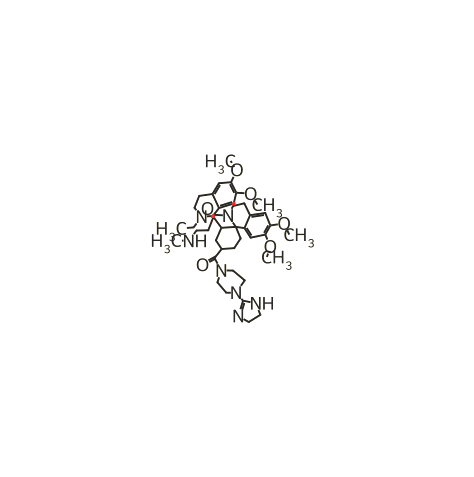 CCN1CCc2cc(OC)c(OC)cc2C1C1CC(C(=O)N2CCN(C3=NCCN3)CC2)CCC12c1cc(OC)c(OC)cc1CCN2C(=O)CCNC